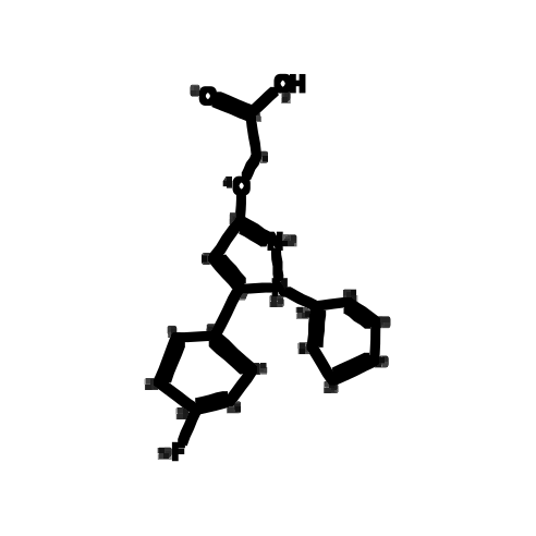 O=C(O)COc1cc(-c2ccc(F)cc2)n(-c2ccccc2)n1